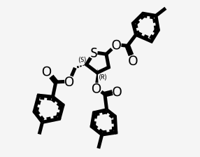 Cc1ccc(C(=O)OC[C@@H]2SC(OC(=O)c3ccc(C)cc3)C[C@H]2OC(=O)c2ccc(C)cc2)cc1